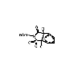 CCCCCCCCN1C(=O)C2(Cl)c3ccc(s3)C2(Cl)S1(=O)=O